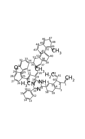 C=CC1CC2=C(C=C(C3N=C(c4ccccc4)N=C(C(=C/C)/C=C(\C)c4cccc5oc6ccc(C7C=Cc8ccc9c(ccc%10cccc(C)c%109)c8C7)cc6c45)N3)CC2)C1C=C